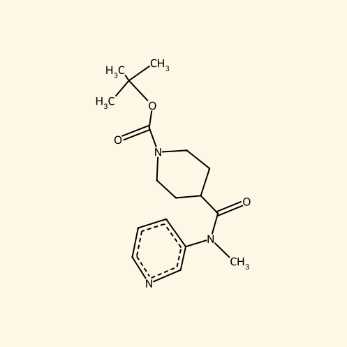 CN(C(=O)C1CCN(C(=O)OC(C)(C)C)CC1)c1cccnc1